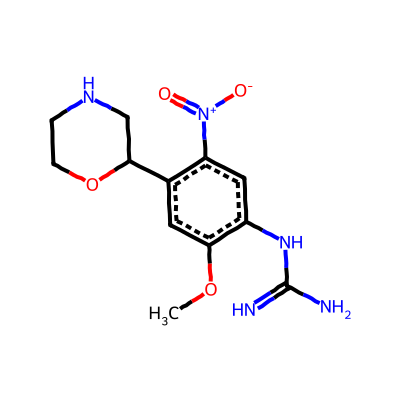 COc1cc(C2CNCCO2)c([N+](=O)[O-])cc1NC(=N)N